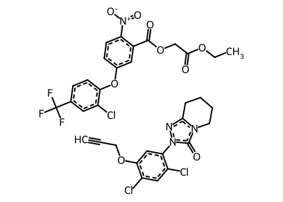 C#CCOc1cc(-n2nc3n(c2=O)CCCC3)c(Cl)cc1Cl.CCOC(=O)COC(=O)c1cc(Oc2ccc(C(F)(F)F)cc2Cl)ccc1[N+](=O)[O-]